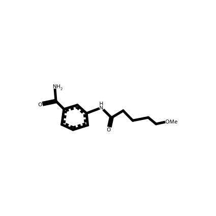 COCCCCC(=O)Nc1cccc(C(N)=O)c1